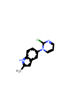 Cc1cc2cc(N3C=CC=NC3Cl)ccc2[nH]1